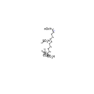 CCCCCCCC/C=C\CCCCCCCCC(C(=O)O)[N+](C)(C)C(=O)[O-].CS(=O)(=O)O